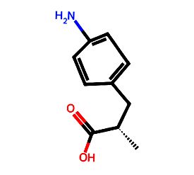 C[C@@H](Cc1ccc(N)cc1)C(=O)O